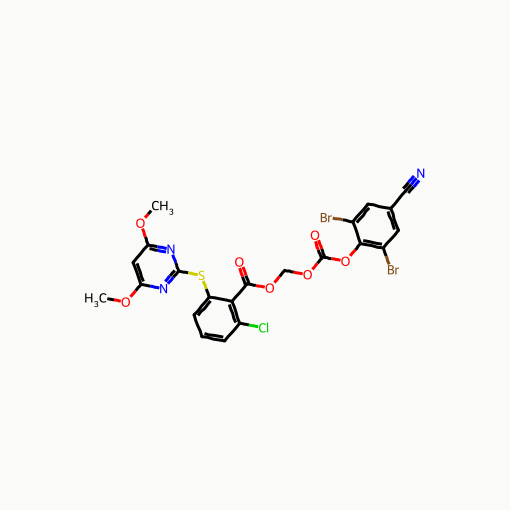 COc1cc(OC)nc(Sc2cccc(Cl)c2C(=O)OCOC(=O)Oc2c(Br)cc(C#N)cc2Br)n1